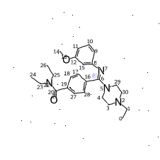 CCN1CCN(/C(=N/c2cccc(OC)c2)c2ccc(C(=O)N(CC)CC)cc2)CC1